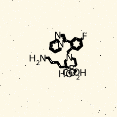 NCCCC[C@@]1(C(=O)O)CN(Cc2ccc(F)cc2-c2cnc3ccccn23)CCP1(=O)O